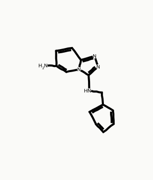 Nc1ccc2nnc(NCc3ccccc3)n2c1